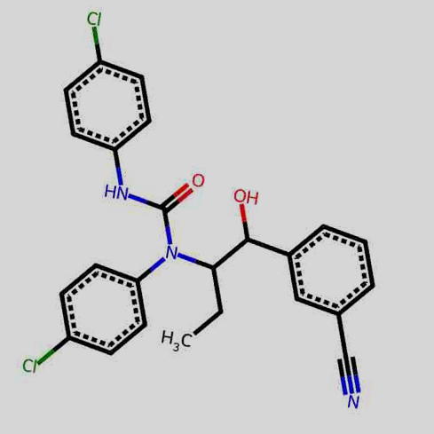 CCC(C(O)c1cccc(C#N)c1)N(C(=O)Nc1ccc(Cl)cc1)c1ccc(Cl)cc1